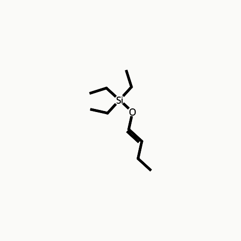 CCC=CO[Si](CC)(CC)CC